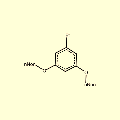 [CH2]Cc1cc(OCCCCCCCCC)cc(OCCCCCCCCC)c1